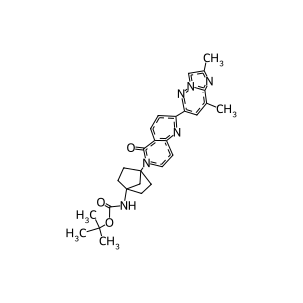 Cc1cn2nc(-c3ccc4c(=O)n(C56CCC(NC(=O)OC(C)(C)C)(CC5)C6)ccc4n3)cc(C)c2n1